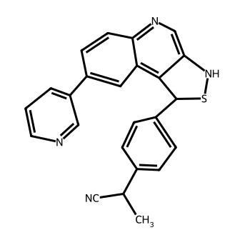 CC(C#N)c1ccc(C2SNc3cnc4ccc(-c5cccnc5)cc4c32)cc1